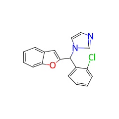 Clc1ccccc1C(c1cc2ccccc2o1)n1ccnc1